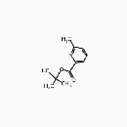 Cc1cccc(C(=O)OC(C)(C)C)n1